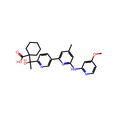 COc1ccnc(Nc2cc(C)cc(-c3ccc(C(C)(O)C4(C(=O)O)CCCCC4)nc3)n2)c1